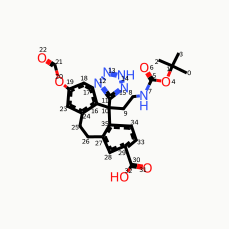 CC(C)(C)OC(=O)NCCC1(c2nn[nH]n2)c2ccc(OC=O)cc2CCc2cc(C(=O)O)ccc21